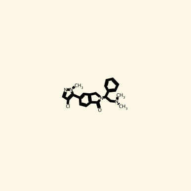 CN(C)CC(c1ccccc1)N1Cc2cc(-c3c(Cl)cnn3C)ccc2C1=O